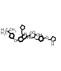 CC(C)(C)c1ccc(Oc2ccc3cc(C(=O)N[C@@H](Cc4ccc(OCC5CCCN5)cc4)C(=O)O)nc(CC4CCCC4)c3c2)cc1